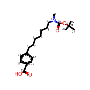 CN(CCCCCCCc1ccc(C(=O)O)cc1)C(=O)OC(C)(C)C